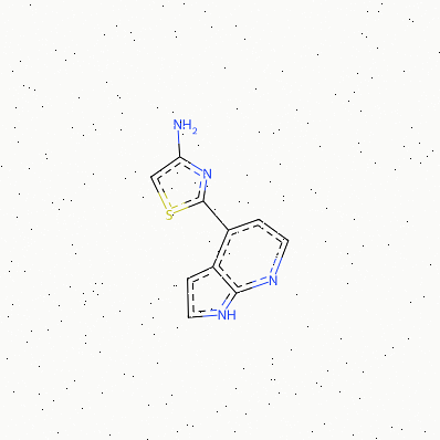 Nc1csc(-c2ccnc3[nH]ccc23)n1